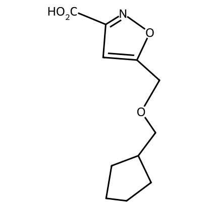 O=C(O)c1cc(COCC2CCCC2)on1